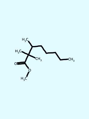 CCCCCC(C)C(C)(C)C(=O)OC